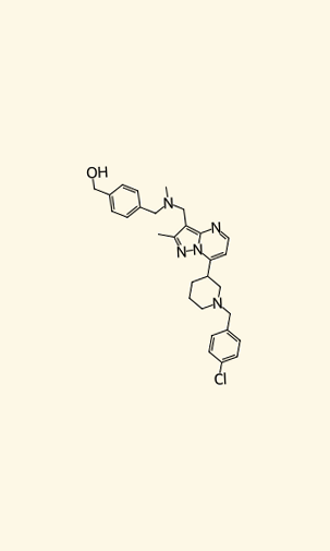 Cc1nn2c(C3CCCN(Cc4ccc(Cl)cc4)C3)ccnc2c1CN(C)Cc1ccc(CO)cc1